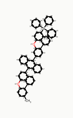 Cc1ccc2c(c1)-c1cccc3c(-c4c5ccccc5c(-c5ccc6c(c5)Oc5ccc([Si](c7ccccc7)(c7ccccc7)c7ccccc7)c7cccc-6c57)c5ccccc45)ccc(c13)O2